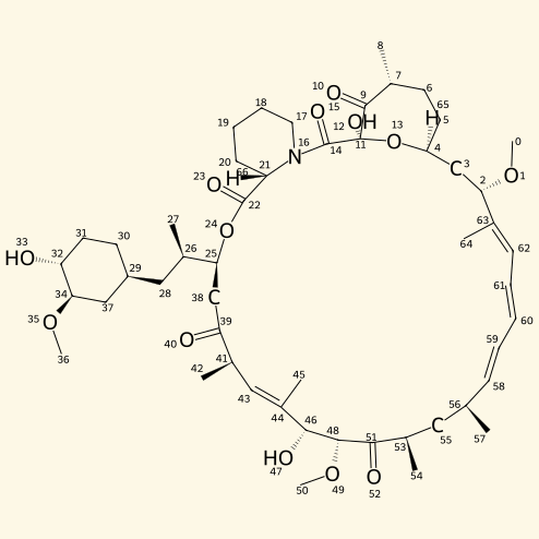 CO[C@H]1C[C@@H]2CC[C@@H](C)C(=O)[C@@](O)(O2)C(=O)N2CCCC[C@H]2C(=O)O[C@H]([C@H](C)C[C@@H]2CC[C@@H](O)[C@H](OC)C2)CC(=O)[C@H](C)/C=C(\C)[C@@H](O)[C@@H](OC)C(=O)[C@H](C)C[C@H](C)/C=C/C=C/C=C/1C